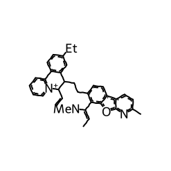 C=CC1C(CCc2ccc3c(oc4nc(C)ccc43)c2/C(=C/C)NC)c2cc(CC)ccc2-c2cccc[n+]21